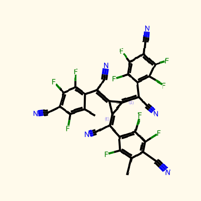 Cc1c(F)c(/C(C#N)=C2/C(=C(C#N)c3c(C)c(F)c(C#N)c(F)c3F)/C2=C(/C#N)c2c(F)c(F)c(C#N)c(F)c2F)c(F)c(F)c1C#N